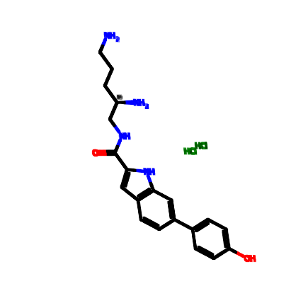 Cl.Cl.NCCC[C@@H](N)CNC(=O)c1cc2ccc(-c3ccc(O)cc3)cc2[nH]1